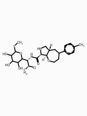 CSC1OC([C@H](NC(=O)[C@H]2NC[C@@H]3CC(c4ccc(C)cc4)CCO[C@H]32)[C@H](C)Cl)C(O)C(O)C1O